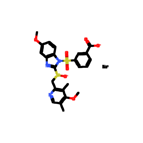 COc1ccc2c(c1)nc([S+]([O-])Cc1ncc(C)c(OC)c1C)n2S(=O)(=O)c1cccc(C(=O)[O-])c1.[Na+]